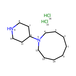 C1CCCCN(C2CCNCC2)CCC1.Cl.Cl